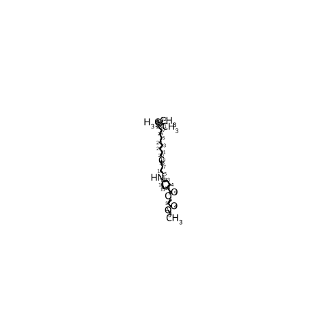 CCOC(=O)C=COC(=O)c1ccc(NCCCCCCCCCCCCCC[Si](C)(C)C)cc1